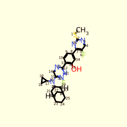 CSc1ncc(F)c(-c2ccc(-c3ncc(N(C4CC4)[C@H]4C[C@@H]5CCC[C@@H](C5)[C@H]4F)nn3)c(O)c2)n1